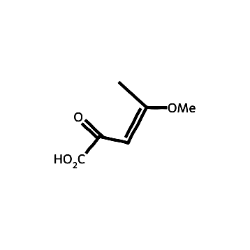 COC(C)=CC(=O)C(=O)O